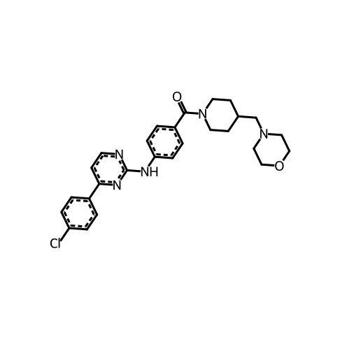 O=C(c1ccc(Nc2nccc(-c3ccc(Cl)cc3)n2)cc1)N1CCC(CN2CCOCC2)CC1